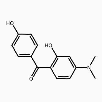 CN(C)c1ccc(C(=O)c2ccc(O)cc2)c(O)c1